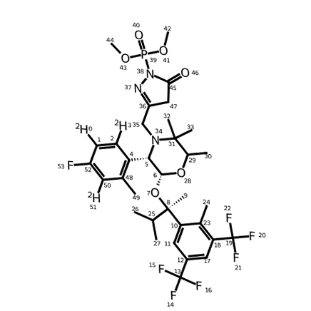 [2H]c1c([2H])c([C@H]2[C@@H](O[C@@](C)(c3cc(C(F)(F)F)cc(C(F)(F)F)c3C)C(C)C)OC(C)C(C)(C)N2CC2=NN(P(=O)(OC)OC)C(=O)C2)c(C)c([2H])c1F